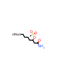 CCCCCCCCCCCCCC(CC(N)=O)OS(C)(=O)=O